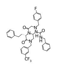 O=C1[C@H](CCc2ccccc2)N2C(=O)CN(Cc3ccc(F)cc3)N(C(=O)NCc3ccccc3)[C@H]2CN1Cc1cccc(C(F)(F)F)c1